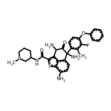 Cc1c(C2(N)C(=O)C(N)c3c(C(=O)NC4CCCN(C)C4)sc4c(N)ccc2c34)ccc(Oc2ccccc2)c1F